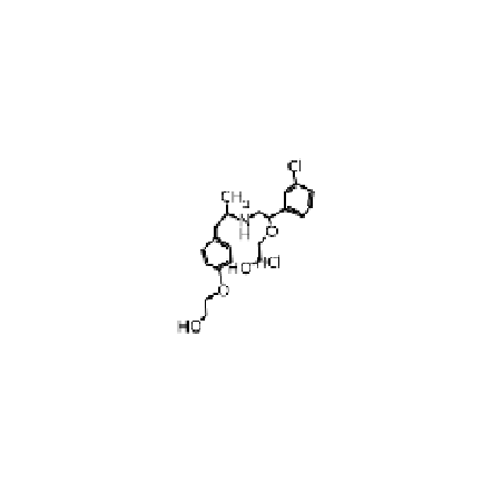 CC(Cc1ccc(OCCO)cc1)NCC(OCCO)c1cccc(Cl)c1.Cl